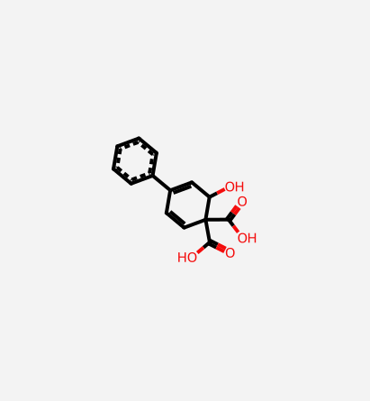 O=C(O)C1(C(=O)O)C=CC(c2ccccc2)=CC1O